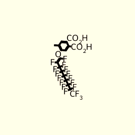 Cc1cc(C(=O)O)c(C(=O)O)cc1OC(F)=C(F)C(F)(F)C(F)(F)C(F)(F)C(F)(F)C(F)(F)C(F)(F)C(F)(F)F